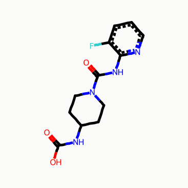 O=C(O)NC1CCN(C(=O)Nc2ncccc2F)CC1